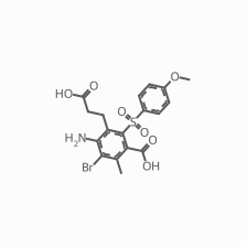 COc1ccc(S(=O)(=O)c2c(CCC(=O)O)c(N)c(Br)c(C)c2C(=O)O)cc1